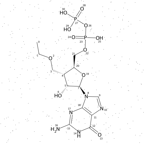 CCOC[C@H]1[C@@H](O)[C@H](n2cnc3c(=O)[nH]c(N)nc32)O[C@@H]1COP(=O)(O)OP(=O)(O)O